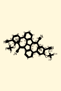 N#CC(C#N)=C1c2cccc(-c3ccc(C#N)c(OC(F)(F)F)c3)c2C2C(=C(C#N)C#N)c3cccc(-c4ccc(C#N)c(OC(F)(F)F)c4)c3C12